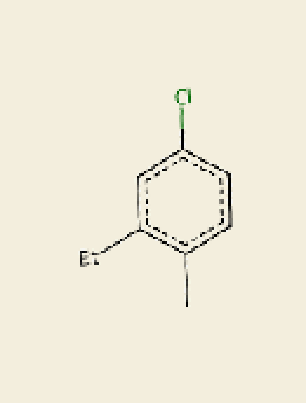 CCc1cc(Cl)ccc1C